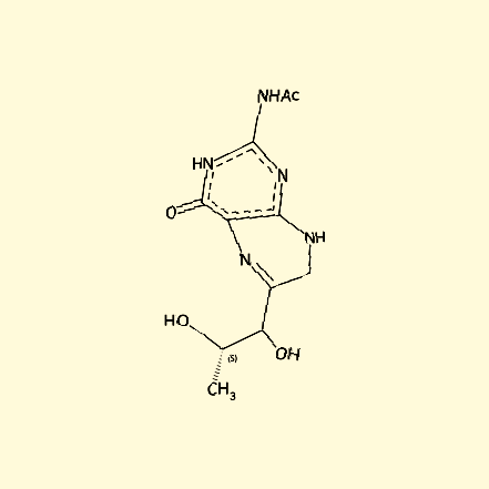 CC(=O)Nc1nc2c(c(=O)[nH]1)N=C(C(O)[C@H](C)O)CN2